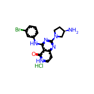 Cl.N[C@@H]1CCN(c2nc(Nc3cccc(Br)c3)c3c(=O)[nH]ccc3n2)C1